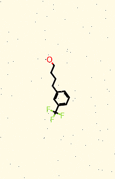 [O]CCCCc1cccc(C(F)(F)F)c1